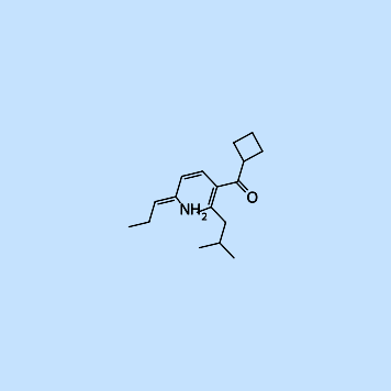 CC/C=C(N)/C=C\C(C(=O)C1CCC1)=C(/C)CC(C)C